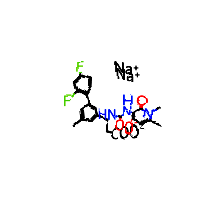 Cc1cc(-c2ccc(F)cc2F)cc([C@H](CC(=O)[O-])NC(=O)Nc2c([O-])cc(C)n(C)c2=O)c1.[Na+].[Na+]